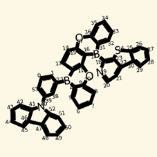 c1cc(B2c3ccccc3Oc3c2ccc2c3B(c3nccc4c3sc3ccccc34)c3ccccc3O2)cc(-n2c3ccccc3c3ccccc32)c1